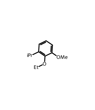 [CH2]C(C)c1cccc(OC)c1OCC